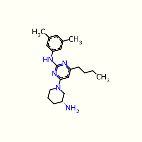 CCCCc1cc(N2CCC[C@@H](N)C2)nc(Nc2cc(C)cc(C)c2)n1